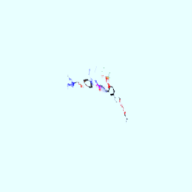 CCCCOCCOC1C=CC(c2ccc(OC(F)F)c(/C=C/C(=O)Nc3ccc([S+]([O-])Cc4cncn4CCC)cc3)c2)=CC1